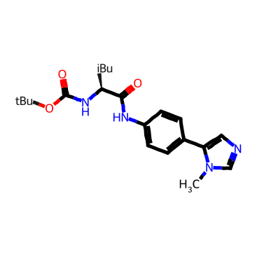 CCC(C)[C@H](NC(=O)OC(C)(C)C)C(=O)Nc1ccc(-c2cncn2C)cc1